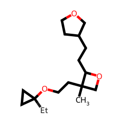 CCC1(OCCC2(C)COC2CCC2CCOC2)CC1